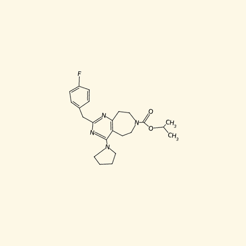 CC(C)OC(=O)N1CCc2nc(Cc3ccc(F)cc3)nc(N3CCCC3)c2CC1